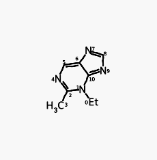 CCn1c(C)ncc2ncnc1-2